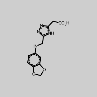 O=C(O)Cc1nnc(CNc2ccc3c(c2)OCO3)[nH]1